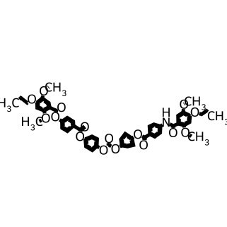 CCCOc1cc(OC)c(C(=O)Nc2ccc(C(=O)Oc3ccc(OC(=O)Oc4ccc(OC(=O)c5ccc(OC(=O)c6cc(OC)c(OCCC)cc6OC)cc5)cc4)cc3)cc2)cc1OC